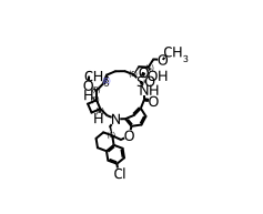 COC[C@@H](O)C[C@@H]1CC/C=C/[C@H](OC)[C@@H]2CC[C@H]2CN2C[C@@]3(CCCc4cc(Cl)ccc43)COc3ccc(cc32)C(=O)NS1(=O)=O